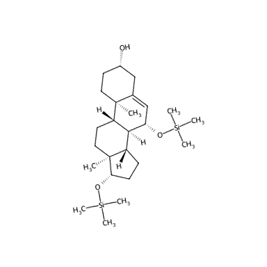 C[C@]12CC[C@H]3[C@@H]([C@@H](O[Si](C)(C)C)C=C4C[C@@H](O)CC[C@@]43C)[C@@H]1CC[C@@H]2O[Si](C)(C)C